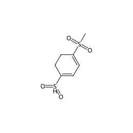 CS(=O)(=O)C1=CC=C([SH](=O)=O)CC1